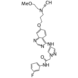 C#CN(CCCOc1ccc2c(Nc3cnn(CC(=O)Nc4cccc(F)c4)c3)ncnc2c1)CCOC